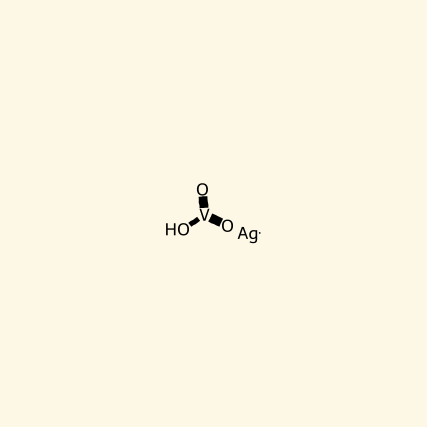 [Ag].[O]=[V](=[O])[OH]